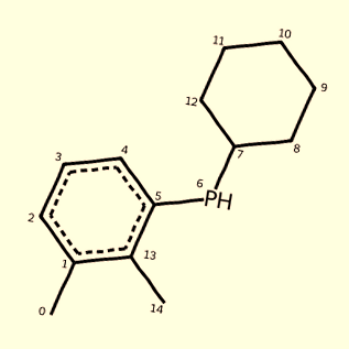 Cc1cccc(PC2CCCCC2)c1C